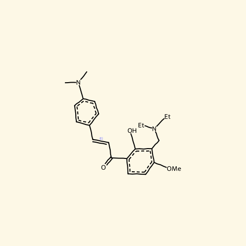 CCN(CC)Cc1c(OC)ccc(C(=O)/C=C/c2ccc(N(C)C)cc2)c1O